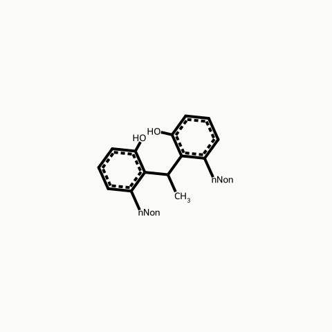 CCCCCCCCCc1cccc(O)c1C(C)c1c(O)cccc1CCCCCCCCC